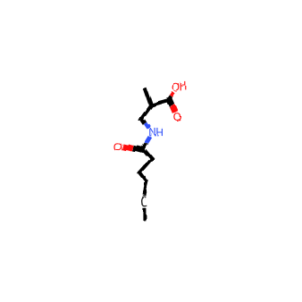 CCCCCC(=O)NCC(C)C(=O)O